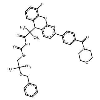 CC(C)(CNC(=O)NC(=O)C(C)(C)C1c2ccc(-c3ccc(C(=O)N4CCOCC4)cc3)nc2Oc2c(F)cccc21)OCc1ccccc1